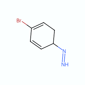 N=NC1C=CC(Br)=CC1